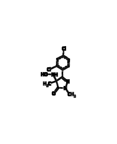 CN1N=C(c2ccc(Cl)cc2Cl)C(C)(NO)C1=O